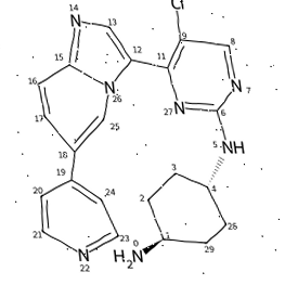 N[C@H]1CC[C@H](Nc2ncc(Cl)c(-c3cnc4ccc(-c5ccncc5)cn34)n2)CC1